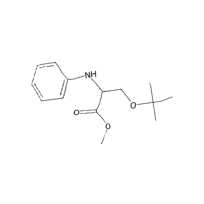 COC(=O)C(COC(C)(C)C)Nc1ccccc1